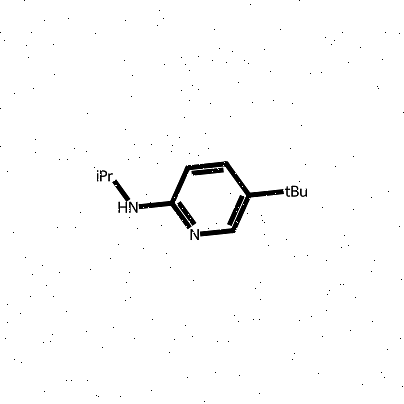 CC(C)Nc1ccc(C(C)(C)C)cn1